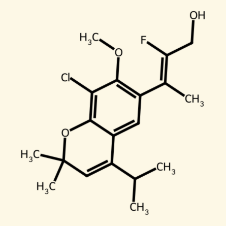 COc1c(C(C)=C(F)CO)cc2c(c1Cl)OC(C)(C)C=C2C(C)C